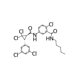 CCCCCNC(=O)c1cc(NC(=O)[C@H]2[C@H](c3cc(Cl)cc(Cl)c3)C2(Cl)Cl)ccc1Cl